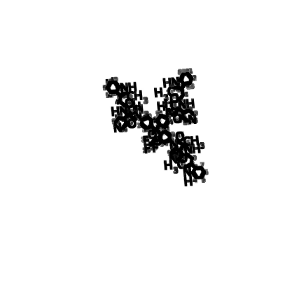 Cc1[nH]c2ccccc2c1CC(=O)N[C@](C)(C(=O)Nc1ccc(C(OC(=O)C(F)(F)F)(c2ccc(NC(=O)[C@@](C)(NC(=O)Cc3c(C)[nH]c4ccccc34)c3ccncc3)cc2)c2ccc(NC(=O)[C@@](C)(NC(=O)Cc3c(C)[nH]c4ccccc34)c3ccncc3)cc2)cc1)c1ccncc1